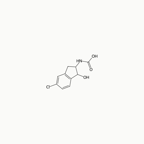 O=C(O)NC1Cc2cc(Cl)ccc2C1O